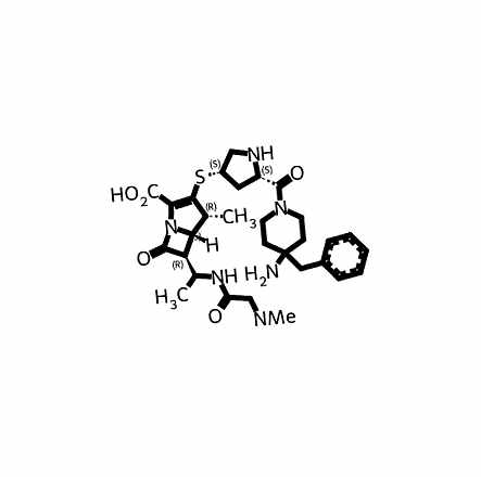 CNCC(=O)NC(C)[C@H]1C(=O)N2C(C(=O)O)=C(S[C@@H]3CN[C@H](C(=O)N4CCC(N)(Cc5ccccc5)CC4)C3)[C@H](C)[C@H]12